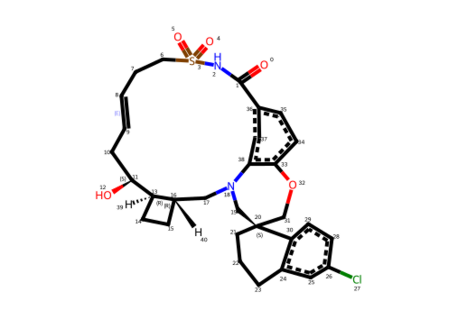 O=C1NS(=O)(=O)CC/C=C/C[C@H](O)[C@@H]2CC[C@H]2CN2C[C@@]3(CCCc4cc(Cl)ccc43)COc3ccc1cc32